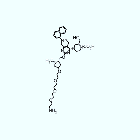 CN1C[C@H](OCCOCCOCCOCCN)C[C@H]1COc1nc2c(c(N3CCN(C(=O)O)C(CC#N)C3)n1)CCN(c1cccc3ccccc13)C2